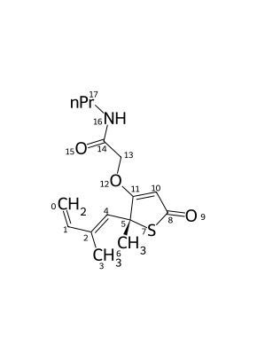 C=C/C(C)=C/[C@@]1(C)SC(=O)C=C1OCC(=O)NCCC